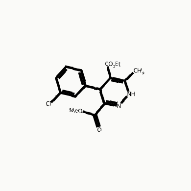 CCOC(=O)C1=C(C)NN=C(C(=O)OC)C1c1cccc(Cl)c1